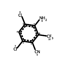 N#Cc1c(Cl)cc(Cl)c(N)c1C(F)(F)F